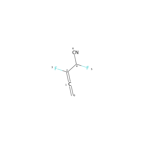 C=C=C(F)C(F)C#N